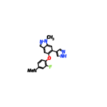 CNc1ccc(Oc2cc3cnn(C)c3cc2-c2cn[nH]c2)c(F)c1